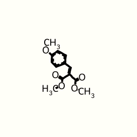 COC(=O)C(=Cc1ccc(OC)cc1)C(=O)OC